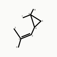 CC(C)=CC1[CH]C1(C)C